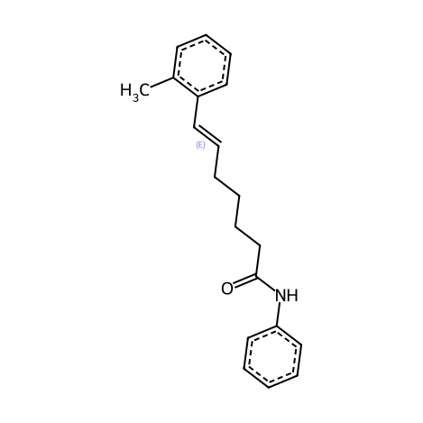 Cc1ccccc1/C=C/CCCCC(=O)Nc1ccccc1